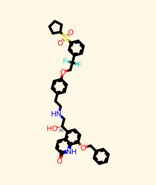 O=c1ccc2c([C@H](O)CNCCc3ccc(OCC(F)(F)c4cccc(S(=O)(=O)C5CCCC5)c4)cc3)ccc(OCc3ccccc3)c2[nH]1